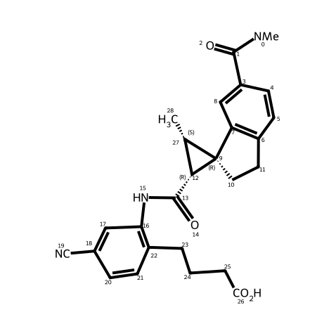 CNC(=O)c1ccc2c(c1)[C@@]1(CC2)[C@H](C(=O)Nc2cc(C#N)ccc2CCCC(=O)O)[C@@H]1C